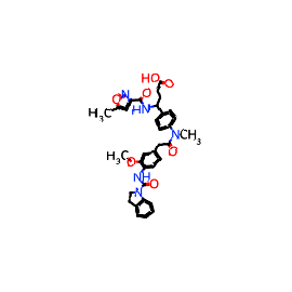 COc1cc(CC(=O)N(C)c2ccc(C(CCC(=O)O)NC(=O)c3cc(C)on3)cc2)ccc1NC(=O)N1CCc2ccccc21